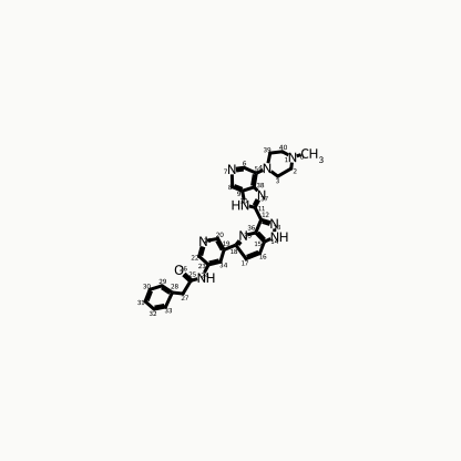 CN1CCN(c2cncc3[nH]c(-c4n[nH]c5ccc(-c6cncc(NC(=O)Cc7ccccc7)c6)nc45)nc23)CC1